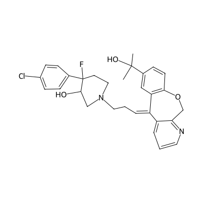 CC(C)(O)c1ccc2c(c1)C(=CCCN1CCC(F)(c3ccc(Cl)cc3)C(O)C1)c1cccnc1CO2